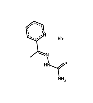 CC(=NNC(N)=S)c1ccccn1.[Rh]